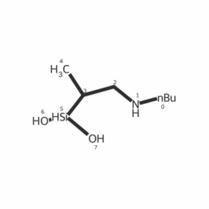 CCCCNCC(C)[SiH](O)O